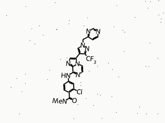 CNC(=O)c1ccc(Nc2nccn3c(-c4cn(Cc5ccncn5)nc4C(F)(F)F)cnc23)cc1Cl